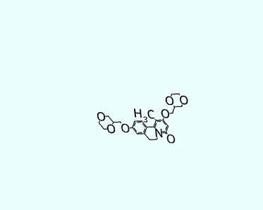 Cc1c(OCC2COCCO2)cc(=O)n2c1-c1ccc(OCC3COCCO3)cc1CC2